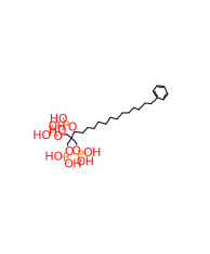 OP(O)OCC(COP(O)O)(COP(O)O)C(CCCCCCCCCCCCCc1ccccc1)OP(O)O